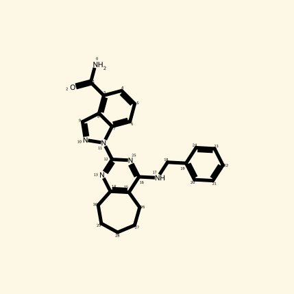 NC(=O)c1cccc2c1cnn2-c1nc2c(c(NCc3ccccc3)n1)CCCCC2